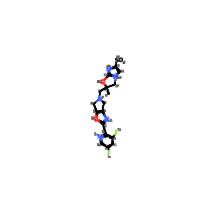 C[C@]1(CN2Cc3nc(-c4ncc(F)cc4F)oc3C2)Cn2cc([N+](=O)[O-])nc2O1